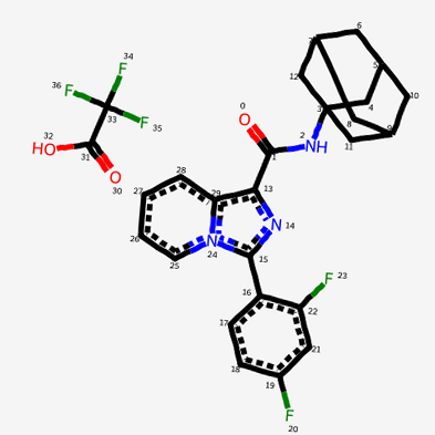 O=C(NC12CC3CC(CC(C3)C1)C2)c1nc(-c2ccc(F)cc2F)n2ccccc12.O=C(O)C(F)(F)F